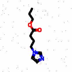 CCCOC(=O)CCCn1c[c]nc1